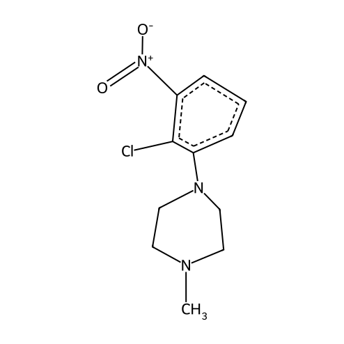 CN1CCN(c2cccc([N+](=O)[O-])c2Cl)CC1